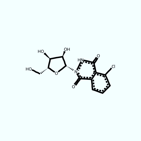 O=c1[nH]n([C@@H]2O[C@H](CO)[C@@H](O)[C@H]2O)c(=O)c2cccc(Cl)c12